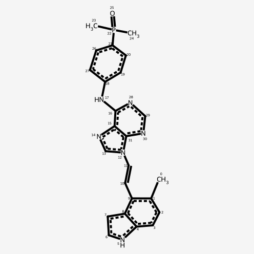 Cc1ccc2[nH]ccc2c1/C=C/n1cnc2c(Nc3ccc(P(C)(C)=O)cc3)ncnc21